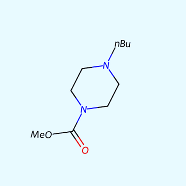 CCCCN1CCN(C(=O)OC)CC1